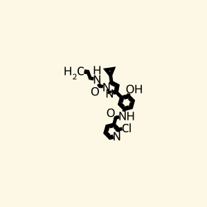 C=CCNC(=O)n1nc(-c2cc(NC(=O)c3cccnc3Cl)ccc2O)cc1C1CC1